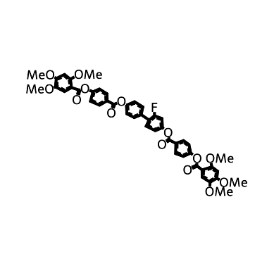 COc1cc(OC)c(C(=O)Oc2ccc(C(=O)Oc3ccc(-c4ccc(OC(=O)c5ccc(OC(=O)c6cc(OC)c(OC)cc6OC)cc5)cc4F)cc3)cc2)cc1OC